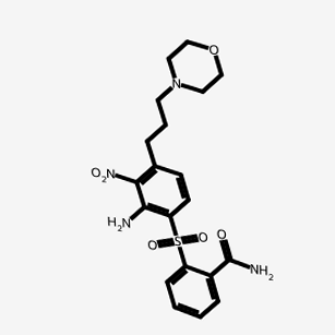 NC(=O)c1ccccc1S(=O)(=O)c1ccc(CCCN2CCOCC2)c([N+](=O)[O-])c1N